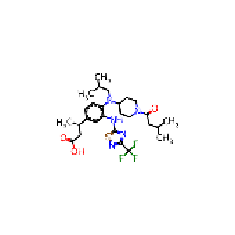 CC(C)CC(=O)N1CCC(N(CC(C)C)c2ccc([C@H](C)CC(=O)O)cc2Nc2nc(C(F)(F)F)ns2)CC1